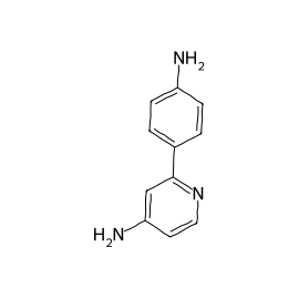 Nc1ccc(-c2cc(N)ccn2)cc1